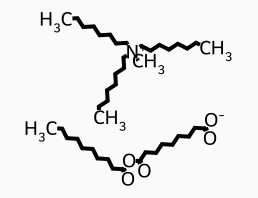 CCCCCCCCCC(=O)OC(=O)CCCCCCCC(=O)[O-].CCCCCCCC[N+](C)(CCCCCCCC)CCCCCCCC